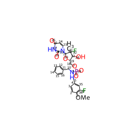 COc1ccc(COP(=O)(NCc2ccccc2)OCC2OC(n3ccc(=O)[nH]c3=O)C(C)(F)C2O)cc1F